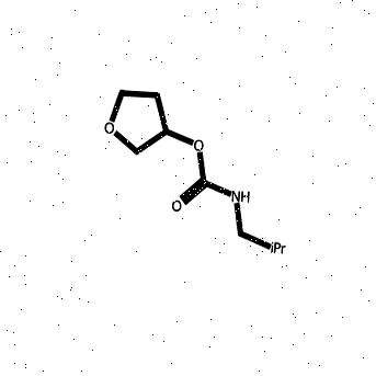 CC(C)CNC(=O)OC1CCOC1